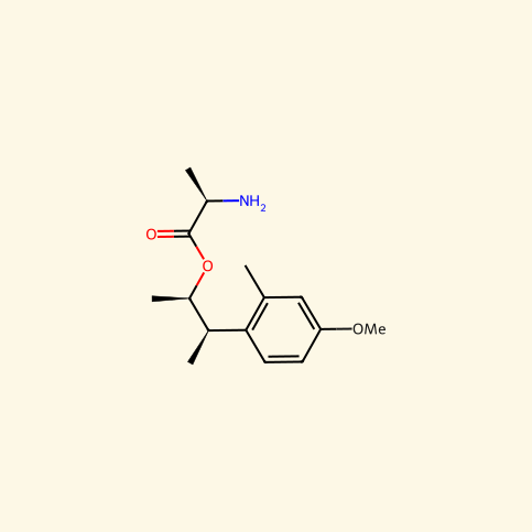 COc1ccc([C@@H](C)[C@@H](C)OC(=O)[C@@H](C)N)c(C)c1